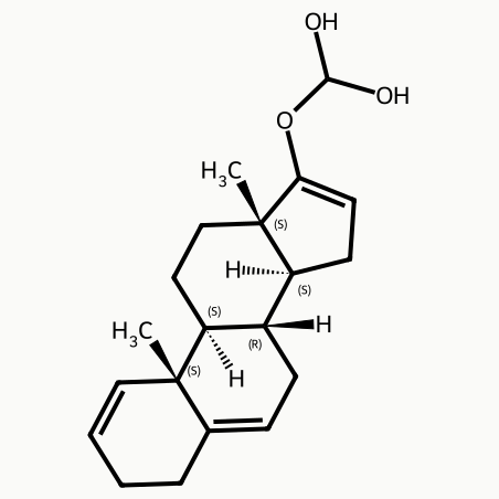 C[C@]12C=CCCC1=CC[C@@H]1[C@@H]2CC[C@]2(C)C(OC(O)O)=CC[C@@H]12